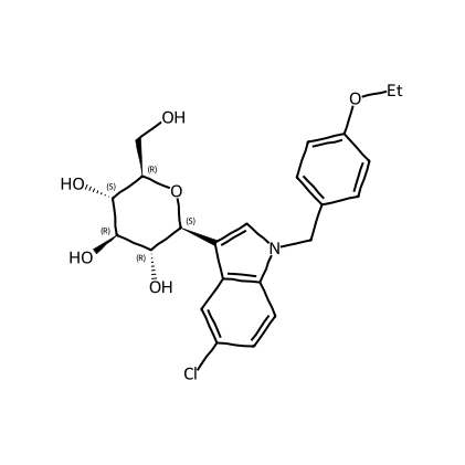 CCOc1ccc(Cn2cc([C@@H]3O[C@H](CO)[C@@H](O)[C@H](O)[C@H]3O)c3cc(Cl)ccc32)cc1